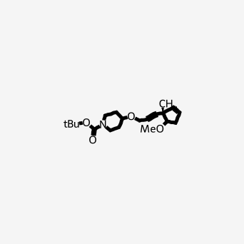 COC1CC=C[C@@]1(C)C#CCOC1CCN(C(=O)OC(C)(C)C)CC1